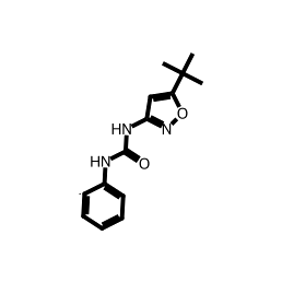 CC(C)(C)c1cc(NC(=O)Nc2[c]cccc2)no1